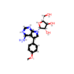 COc1ccc(-c2cn([C@@H]3O[C@H](CO)C(O)[C@@H]3O)c3ncnc(N)c23)cc1